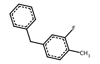 Cc1ccc(Cc2ccccc2)cc1F